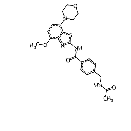 COc1ccc(N2CCOCC2)c2sc(NC(=O)c3ccc(CNC(C)=O)cc3)nc12